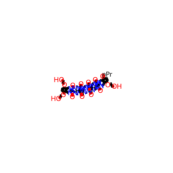 CCCOc1ccc(OCCO)c2c1CN1C(=O)N3CN4C(=O)N5CN6C(=O)N7CN8C(=O)N9Cc%10c(OCCO)ccc(OCCO)c%10CN%10C(=O)N(CN%11C(=O)N(CN%12C(=O)N(CN%13C(=O)N(C2)[C@@]1(C)[C@]3%13C)[C@H]4[C@H]5%12)[C@H]6[C@H]7%11)[C@@]8(C)[C@]9%10C